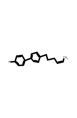 C/C=C\CCCc1ccc(-c2ccc(F)cc2)cc1